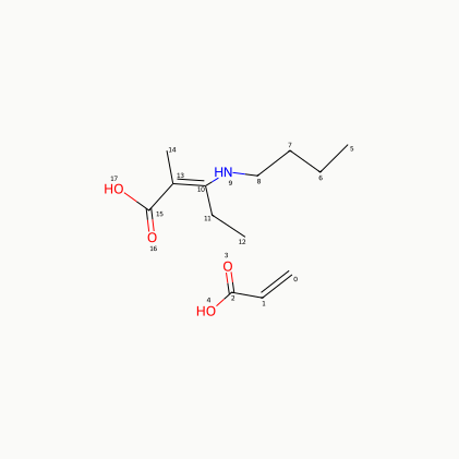 C=CC(=O)O.CCCCN/C(CC)=C(\C)C(=O)O